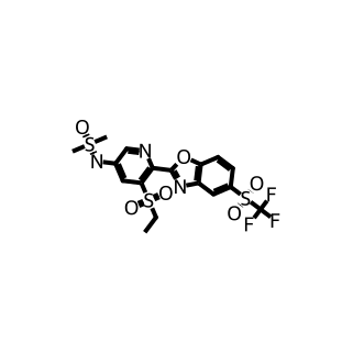 CCS(=O)(=O)c1cc(N=S(C)(C)=O)cnc1-c1nc2cc(S(=O)(=O)C(F)(F)F)ccc2o1